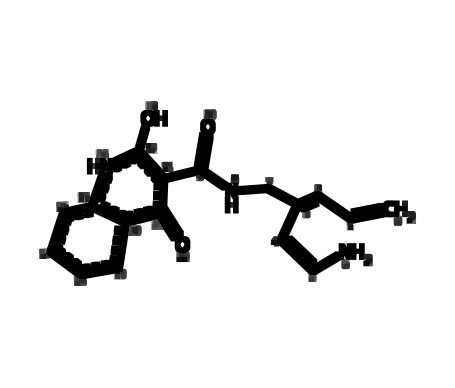 C=C/C=C(\C=C/N)CNC(=O)c1c(O)[nH]c2ccccc2c1=O